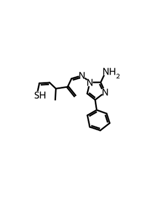 C=C(/C=N\n1cc(-c2ccccc2)nc1N)C(C)/C=C\S